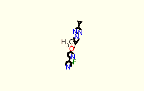 C[C@@]12CN(c3ncc(C4CC4)cn3)CC1[C@H]2COc1ccc(-c2ccncc2F)nc1